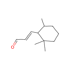 CC1CCCC(C)(C)C1/C=C/C=O